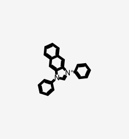 c1ccc(-n2c[n+](-c3ccccc3)c3cc4ccccc4cc32)cc1